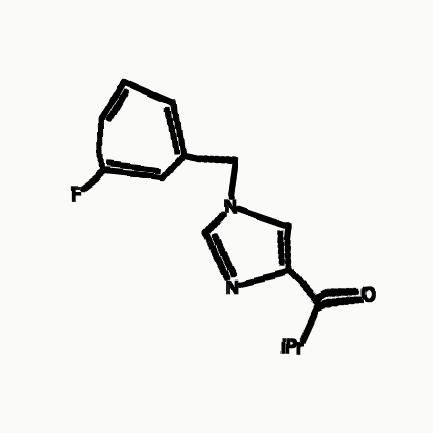 CC(C)C(=O)c1cn(Cc2cccc(F)c2)cn1